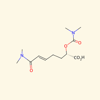 CN(C)C(=O)/C=C/CC[C@H](OC(=O)N(C)C)C(=O)O